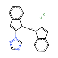 C1=C[CH]([Zr+2][CH]2C(n3cncn3)=Cc3ccccc32)c2ccccc21.[Cl-].[Cl-]